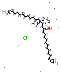 CCCCCCCCCCCCC(O)CC[N+](C)(C)CCCCCCCCCCCC.[Cl-]